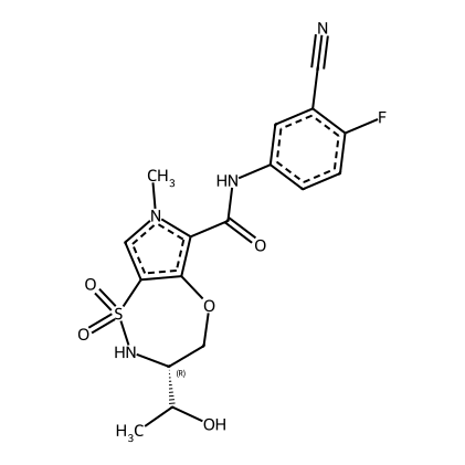 CC(O)[C@H]1COc2c(cn(C)c2C(=O)Nc2ccc(F)c(C#N)c2)S(=O)(=O)N1